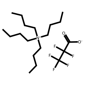 CCCC[N+](CCCC)(CCCC)CCCC.O=C([O-])C(F)(F)C(F)(F)F